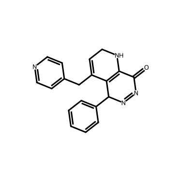 O=C1N=NC(c2ccccc2)C2=C1NCC=C2Cc1ccncc1